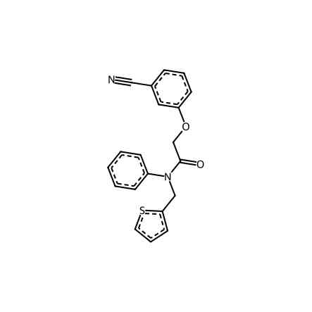 N#Cc1cccc(OCC(=O)N(Cc2cccs2)c2ccccc2)c1